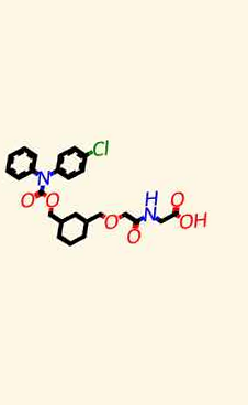 O=C(O)CNC(=O)COCC1CCCC(COC(=O)N(c2ccccc2)c2ccc(Cl)cc2)C1